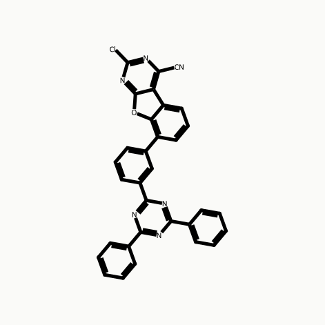 N#Cc1nc(Cl)nc2oc3c(-c4cccc(-c5nc(-c6ccccc6)nc(-c6ccccc6)n5)c4)cccc3c12